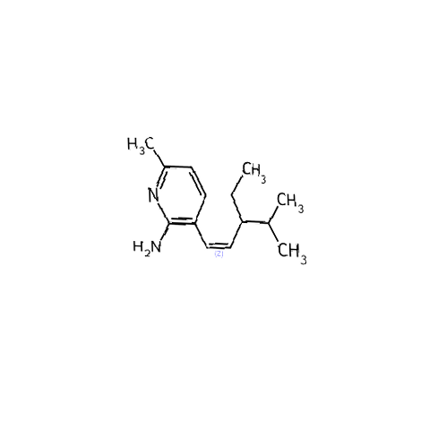 CCC(/C=C\c1ccc(C)nc1N)C(C)C